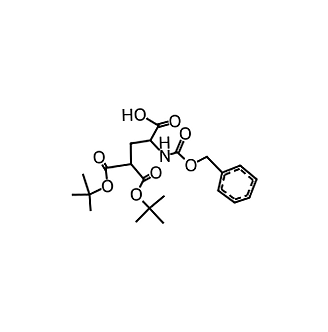 CC(C)(C)OC(=O)C(CC(NC(=O)OCc1ccccc1)C(=O)O)C(=O)OC(C)(C)C